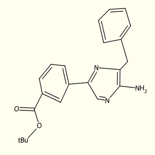 CC(C)(C)OC(=O)c1cccc(-c2cnc(N)c(Cc3ccccc3)n2)c1